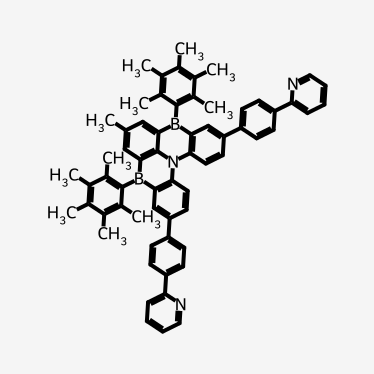 Cc1cc2c3c(c1)B(c1c(C)c(C)c(C)c(C)c1C)c1cc(-c4ccc(-c5ccccn5)cc4)ccc1N3c1ccc(-c3ccc(-c4ccccn4)cc3)cc1B2c1c(C)c(C)c(C)c(C)c1C